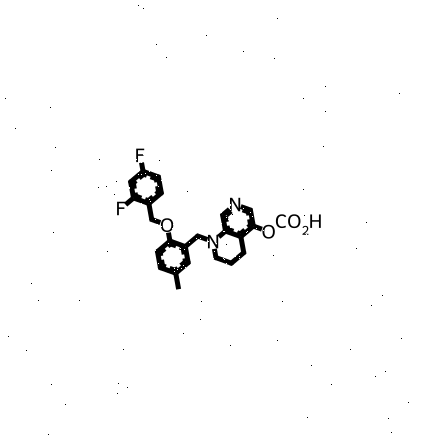 Cc1ccc(OCc2ccc(F)cc2F)c(CN2CCCc3c(OC(=O)O)cncc32)c1